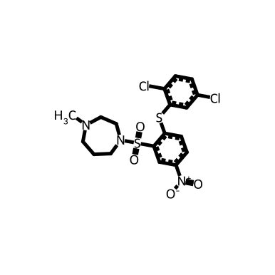 CN1CCCN(S(=O)(=O)c2cc([N+](=O)[O-])ccc2Sc2cc(Cl)ccc2Cl)CC1